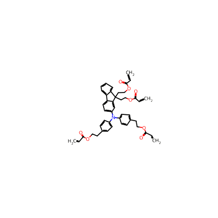 C=CC(=O)OCCc1ccc(N(c2ccc(CCOC(=O)C=C)cc2)c2ccc3c(c2)C(CCOC(=O)C=C)(CCOC(=O)C=C)c2ccccc2-3)cc1